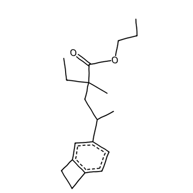 CCCOC(=O)C(C)(CC)CC(C)c1ccc2c(c1)CC2